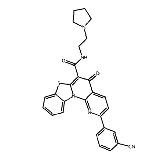 N#Cc1cccc(-c2ccc3c(=O)c(C(=O)NCCN4CCCC4)c4sc5ccccc5n4c3n2)c1